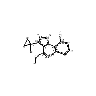 COC(=O)c1c(-c2c(Cl)cccc2Cl)noc1C1(C)CC1